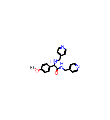 CCOc1ccc(C(NCc2ccncc2)C(=O)NCc2ccncc2)cc1